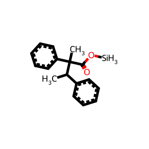 CC(c1ccccc1)C(C)(C(=O)O[SiH3])c1ccccc1